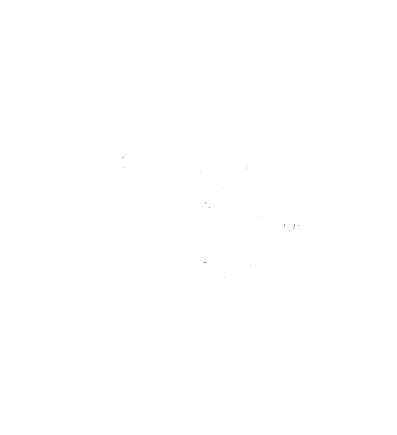 COc1cccc(N(c2scnc2C(=O)O)S(=O)(=O)O)c1